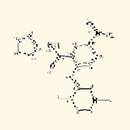 CN1CCN(C)/C(=N/c2ccc([N+](=O)[O-])cc2C(=O)Nc2ccsc2)C1